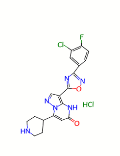 Cl.O=c1cc(C2CCNCC2)n2ncc(-c3nc(-c4ccc(F)c(Cl)c4)no3)c2[nH]1